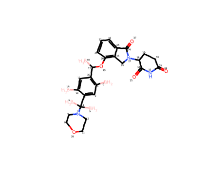 Bc1cc(C(B)(B)N2CCOCC2)c(B)cc1C(B)Oc1cccc2c1CN(C1CCC(=O)NC1=O)C2=O